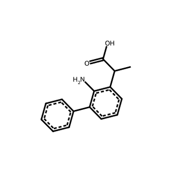 CC(C(=O)O)c1cccc(-c2ccccc2)c1N